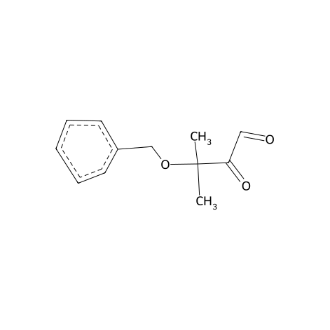 CC(C)(OCc1ccccc1)C(=O)C=O